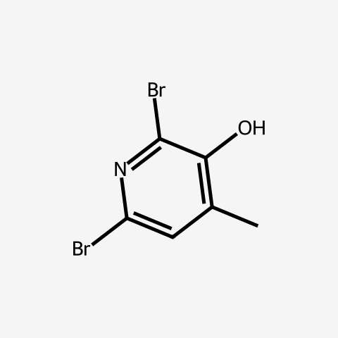 Cc1cc(Br)nc(Br)c1O